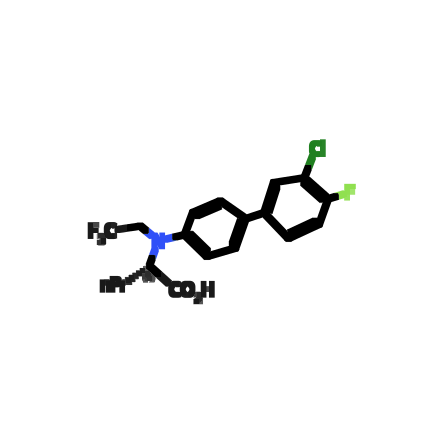 CCC[C@@H](C(=O)O)N(CC(F)(F)F)c1ccc(-c2ccc(F)c(Cl)c2)cc1